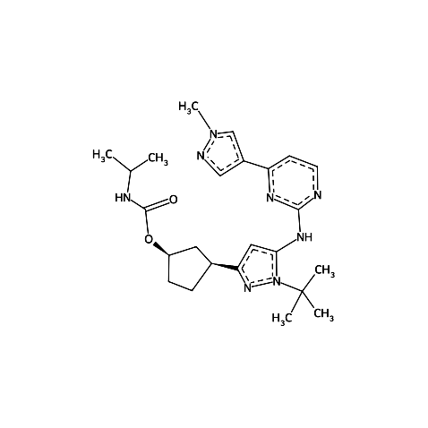 CC(C)NC(=O)O[C@@H]1CC[C@H](c2cc(Nc3nccc(-c4cnn(C)c4)n3)n(C(C)(C)C)n2)C1